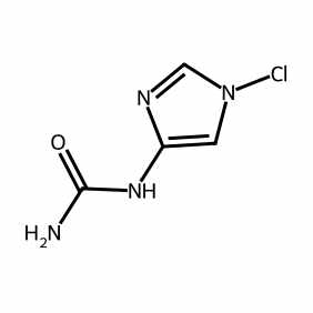 NC(=O)Nc1cn(Cl)cn1